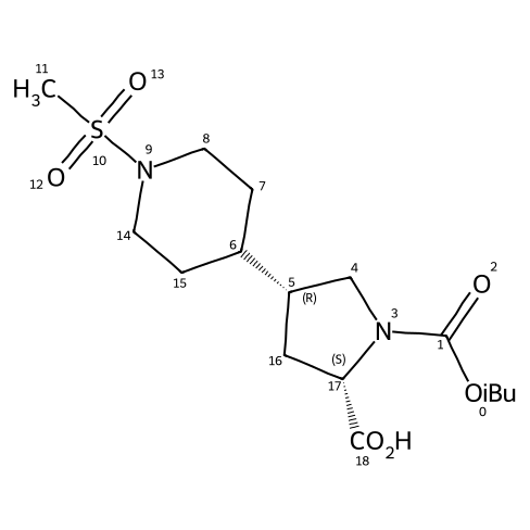 CC(C)COC(=O)N1C[C@@H](C2CCN(S(C)(=O)=O)CC2)C[C@H]1C(=O)O